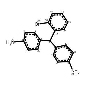 Nc1ccc(C(c2ccc(N)cc2)c2ccccc2Br)cc1